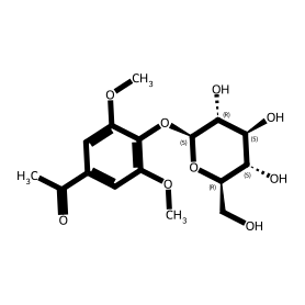 COc1cc(C(C)=O)cc(OC)c1O[C@@H]1O[C@H](CO)[C@@H](O)[C@H](O)[C@H]1O